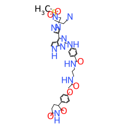 CCS(=O)(=O)N1CC(CC#N)(n2cc(-c3nc(Nc4ccc(C(=O)NCCCNC(=O)COc5ccc(C6CCC(=O)NC6=O)cc5)cc4)nc4[nH]ccc34)cn2)C1